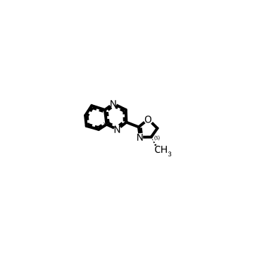 C[C@H]1COC(c2cnc3ccccc3n2)=N1